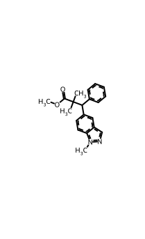 COC(=O)C(C)(C)C(c1ccccc1)c1ccc2c(cnn2C)c1